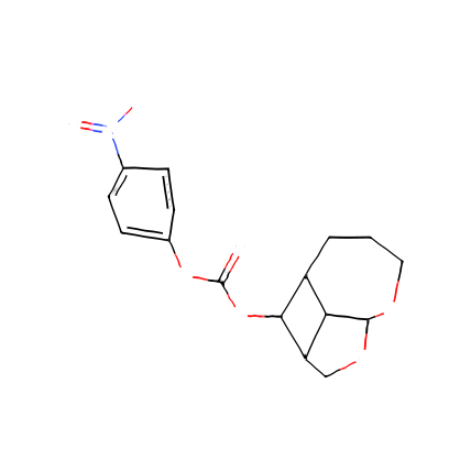 O=C(Oc1ccc([N+](=O)[O-])cc1)OC1C2CCCOC3OCC1C32